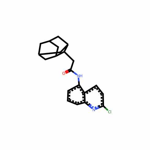 O=C(CC1C2CC3CC(C2)CC1C3)Nc1cccc2nc(Cl)ccc12